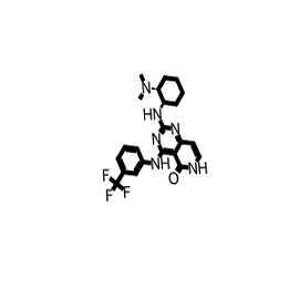 CN(C)[C@@H]1CCCC[C@H]1Nc1nc(Nc2cccc(C(F)(F)F)c2)c2c(=O)[nH]ccc2n1